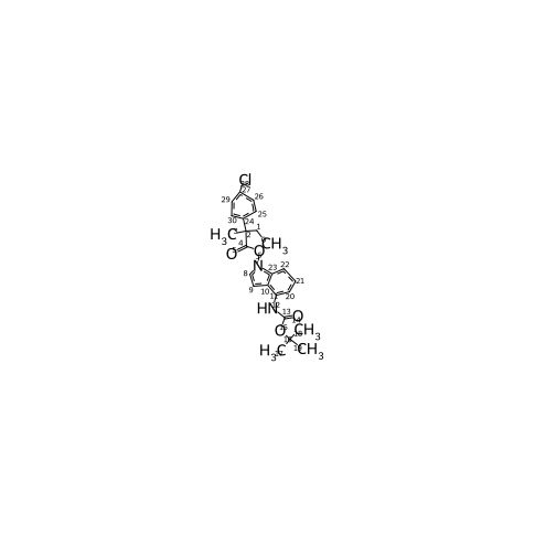 CCC(C)(C(=O)On1ccc2c(NC(=O)OC(C)(C)C)cccc21)c1ccc(Cl)cc1